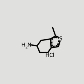 Cc1scc2c1CC(N)CC2.Cl